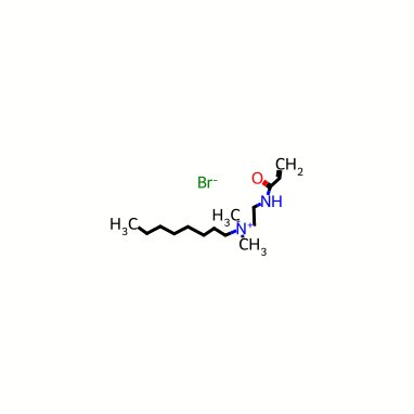 C=CC(=O)NCC[N+](C)(C)CCCCCCCC.[Br-]